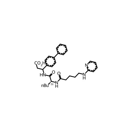 CCCC[C@H](NC(=O)CCCCNc1ccccn1)C(=O)NC(CC(=O)O)c1ccc(-c2ccccc2)cc1